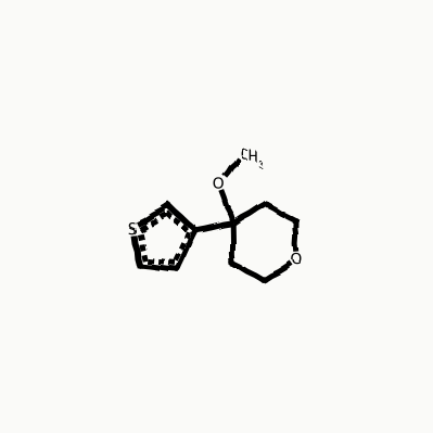 COC1(c2ccsc2)CCOCC1